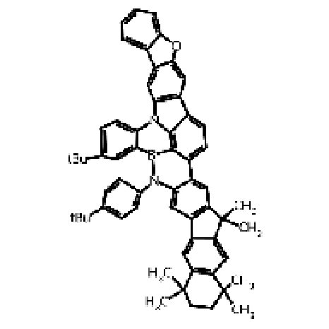 CC(C)(C)c1ccc(N2B3c4cc(C(C)(C)C)ccc4-n4c5cc6c(cc5c5ccc(c3c54)-c3cc4c(cc32)-c2cc3c(cc2C4(C)C)C(C)(C)CCC3(C)C)oc2ccccc26)cc1